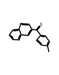 Cc1ccc(C(=S)c2ccc3ccccc3c2)cc1